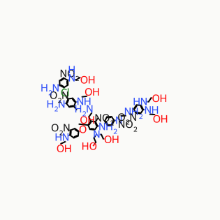 CC(O)(Oc1ccc(NCCO)c([N+](=O)[O-])c1)c1cc(N(CCO)CCO)c(N)c([N+](=O)[O-])c1CCN.Cc1cc(N)c([N+](=O)[O-])cc1NCCO.NCCN(c1ccccc1)[N+](=O)[O-].Nc1cc([N+](=O)[O-])c(NCCO)cc1Cl.O=[N+]([O-])c1ccc(NCCO)c(NCCO)c1